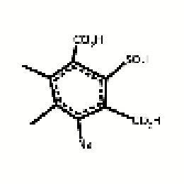 Cc1c(C)c(C(=O)O)c(S(=O)(=O)O)c(C(=O)O)[c]1[Na]